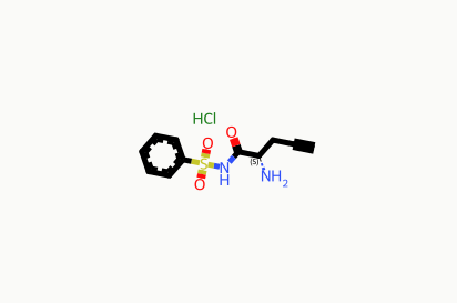 C#CC[C@H](N)C(=O)NS(=O)(=O)c1ccccc1.Cl